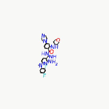 CN1CCN(c2ccc(C(=O)NC(=N)c3ccc(N(C)c4ccc(F)cc4F)nc3N)c(NC3CCOCC3)c2)CC1